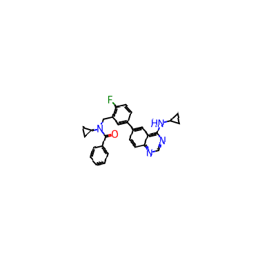 O=C(c1ccccc1)N(Cc1cc(-c2ccc3ncnc(NC4CC4)c3c2)ccc1F)C1CC1